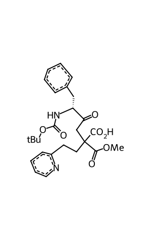 COC(=O)C(CCc1ccccn1)(CC(=O)[C@@H](Cc1ccccc1)NC(=O)OC(C)(C)C)C(=O)O